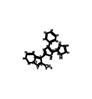 Cc1nn2c(c1-c1cc(-c3ccccc3)c(-c3nnc[nH]3)s1)C=CCC2